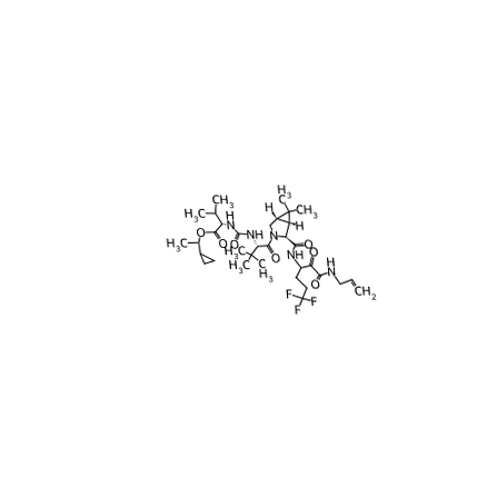 C=CCNC(=O)C(=O)C(CCC(F)(F)F)NC(=O)[C@@H]1[C@@H]2[C@H](CN1C(=O)[C@@H](NC(=O)N[C@H](C(=O)OC(C)C1CC1)C(C)C)C(C)(C)C)C2(C)C